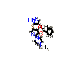 COc1cn[nH]c1Sc1cnc(N2CCN(C)CC2)c(OCc2ccccc2)c1